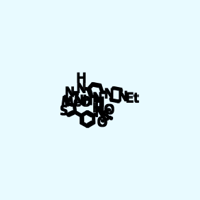 CCN1CCN(C2C=CC(NC3=NC=C4SC=C(c5cccc(NS(C)(=O)=O)c5)C4N3)=C(OC)N2)CC1